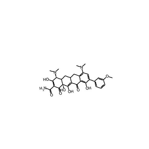 COc1cccc(-c2cc(N(C)C)c3c(c2O)C(=O)C2=C(O)[C@]4(O)C(=O)C(C(N)=O)=C(O)[C@@H](N(C)C)C4CC2C3)c1